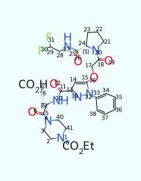 CCOC(=O)N1CCN(C(=O)[C@H](CC(=O)O)NC(=O)c2cc(OCC(=O)N3CCC[C@H]3C(=O)NCC(F)F)n(-c3ccccc3)n2)CC1